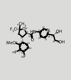 COc1c([C@@H]2C[C@](C)(C(F)(F)F)O[C@H]2C(=O)Nc2ccc([C@H](O)CO)nc2)ccc(F)c1F